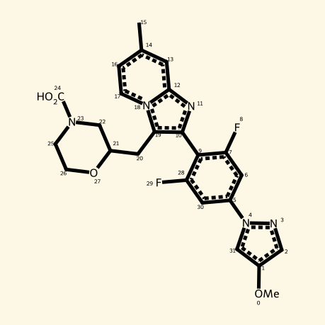 COc1cnn(-c2cc(F)c(-c3nc4cc(C)ccn4c3CC3CN(C(=O)O)CCO3)c(F)c2)c1